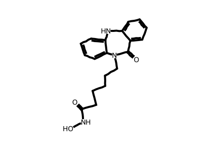 O=C(CCCCCN1C(=O)c2ccccc2Nc2ccccc21)NO